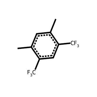 Cc1cc(C)c(C(F)(F)F)cc1C(F)(F)F